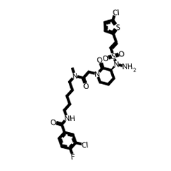 CN(CCCCCNC(=O)c1ccc(F)c(Cl)c1)C(=O)CN1CCC[C@H](N(N)S(=O)(=O)/C=C/c2ccc(Cl)s2)C1=O